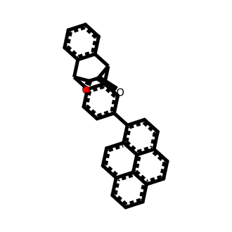 O=C1C(=O)C2c3ccccc3C1c1ccc(-c3ccc4ccc5cccc6ccc3c4c56)cc12